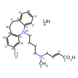 CN(C/C=C/C(=O)O)CCCCN1c2ccccc2CCc2ccc(Cl)cc21.[LiH]